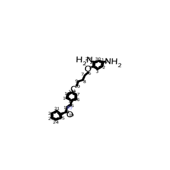 Nc1ccc(OCCCCCCc2ccc(/C=C/C(=O)c3ccccc3)cc2)c(N)c1